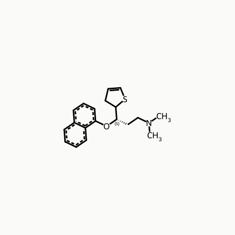 CN(C)CC[C@H](Oc1cccc2ccccc12)C1CC=CS1